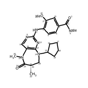 CNC(=O)c1ccc(Nc2ncc3c(n2)N(C2CCCC2)C[C@H](C)C(=O)N3C)c(OC)c1